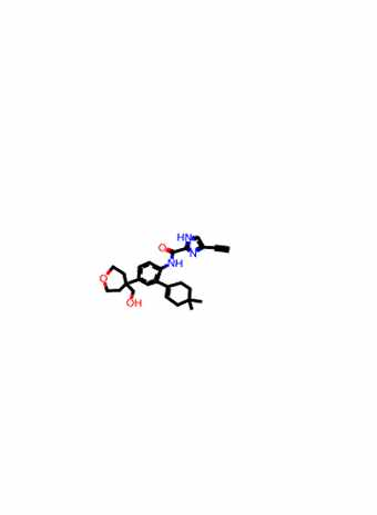 C#Cc1c[nH]c(C(=O)Nc2ccc(C3(CO)CCOCC3)cc2C2=CCC(C)(C)CC2)n1